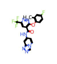 Cc1cc(F)ccc1Oc1nnc(C(F)(F)F)cc1C(=O)Nc1ccn2cnnc2c1